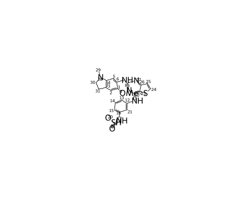 COc1cc2c(cc1Nc1nc(Nc3cccc(N[SH](=O)=O)c3)c3sccc3n1)N(C)CC2